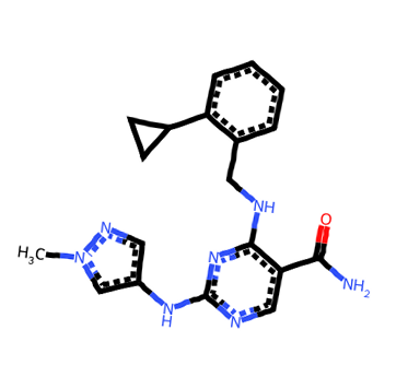 Cn1cc(Nc2ncc(C(N)=O)c(NCc3ccccc3C3CC3)n2)cn1